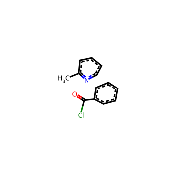 Cc1ccccn1.O=C(Cl)c1ccccc1